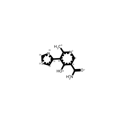 Cc1ncc(C(N)=O)c(O)c1-c1cscn1